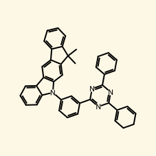 CC1(C)c2ccccc2-c2cc3c4ccccc4n(-c4cccc(-c5nc(C6=CCCC=C6)nc(-c6ccccc6)n5)c4)c3cc21